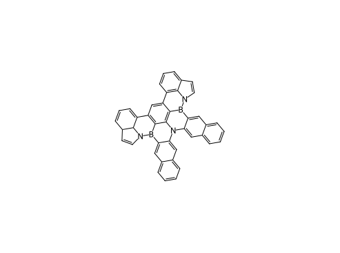 C1=CC2C=CN3B4c5cc6ccccc6cc5N5c6cc7ccccc7cc6B6c7c(cc(c4c75)C(=C1)C23)-c1cccc2ccn6c12